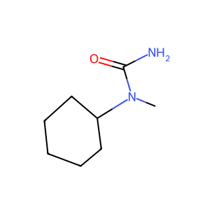 CN(C(N)=O)C1CCCCC1